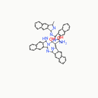 CC1=N/C(=N\c2c3cc4ccccc4cc3c(N)n2C2(O)/C(C(C)O)=C3N=C(/N=C4/c5cc6ccccc6cc5C(=N)N42)c2cc4ccccc4cc2\3)c2cc3ccccc3cc21